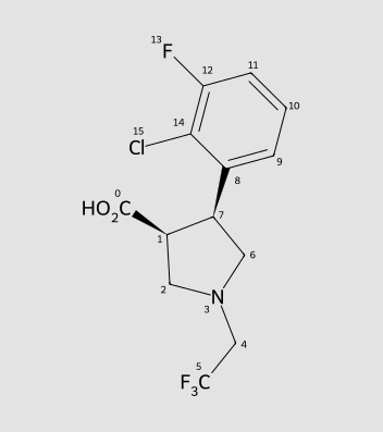 O=C(O)[C@@H]1CN(CC(F)(F)F)C[C@@H]1c1cccc(F)c1Cl